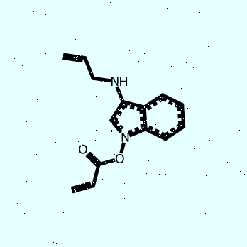 C=CCNc1cn(OC(=O)C=C)c2ccccc12